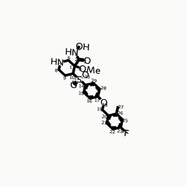 COC1(C(=O)NO)CNCCC1S(=O)(=O)c1ccc(OCc2ccc(F)cc2C)cc1